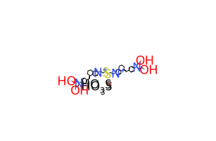 CS(=O)(=O)O.CS(=O)(=O)O.OCCN(CCO)c1ccc(C=C2CCCc3c[n+](CCSSCC[n+]4ccc5c(c4)CCCC5=Cc4ccc(N(CCO)CCO)cc4)ccc32)cc1